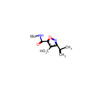 C=C(C)c1noc(C(=O)NC(C)(C)C)c1C(=O)O